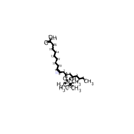 CCCCCC[C@H](C/C=C\CCCCCCCC(=O)O)O[Si](C)(C)C(C)(C)C